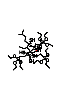 CCO[Si](CCS(S)(SS)C(C(CC)CCCC(C)C)(S(S)(CC[Si](OCC)(OCC)OCC)SS)S(S)(CC[Si](OCC)(OCC)OCC)SS)(OCC)OCC